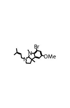 COc1cc(Br)c2c(c1)C1(C)CCN(CC=C(C)C)C1N2C